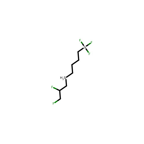 FCC(F)C[SiH2]CCCC[Si](F)(F)F